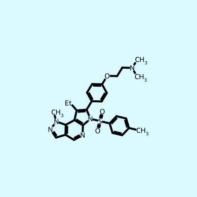 CCc1c(-c2ccc(OCCN(C)C)cc2)n(S(=O)(=O)c2ccc(C)cc2)c2ncc3cnn(C)c3c12